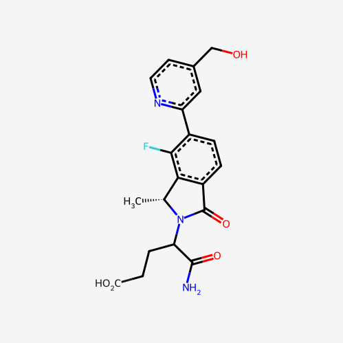 C[C@@H]1c2c(ccc(-c3cc(CO)ccn3)c2F)C(=O)N1C(CCC(=O)O)C(N)=O